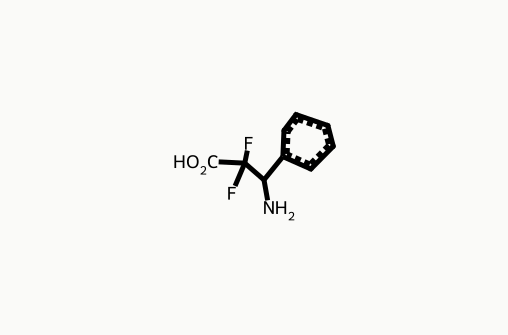 NC(c1ccccc1)C(F)(F)C(=O)O